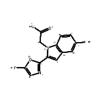 O=C(O)Cn1c(-c2ncc(F)o2)cc2cc(F)ccc21